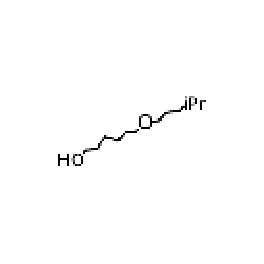 CC(C)CCCOCCCCCCO